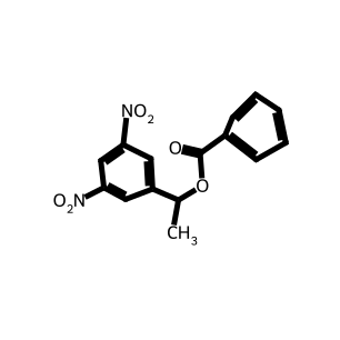 CC(OC(=O)c1ccccc1)c1cc([N+](=O)[O-])cc([N+](=O)[O-])c1